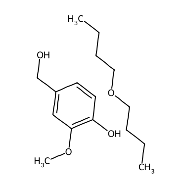 CCCCOCCCC.COc1cc(CO)ccc1O